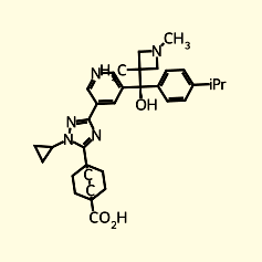 CC(C)c1ccc([C@](O)(c2cncc(-c3nc(C45CCC(C(=O)O)(CC4)CC5)n(C4CC4)n3)c2)C2(C)CN(C)C2)cc1